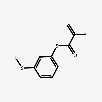 C=C(C)C(=O)Sc1cccc(SI)c1